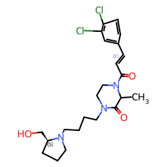 CC1C(=O)N(CCCCN2CCC[C@H]2CO)CCN1C(=O)/C=C/c1ccc(Cl)c(Cl)c1